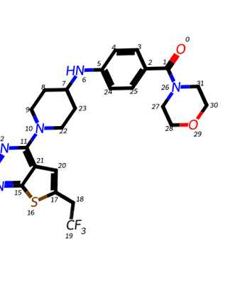 O=C(c1ccc(NC2CCN(c3ncnc4sc(CC(F)(F)F)cc34)CC2)cc1)N1CCOCC1